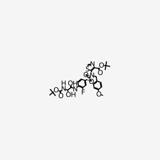 COc1ccc(CN(c2scnc2C(=O)OC(C)(C)C)S(=O)(=O)c2ccc(NC(=O)C(O)NC(=O)OC(C)(C)C)c(F)c2)cc1